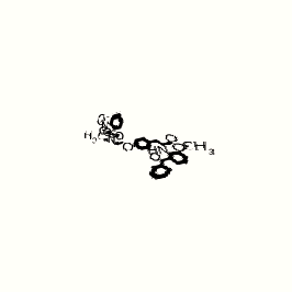 CCN(CCOc1ccc(CC(Nc2ccccc2C(=O)c2ccccc2)C(=O)OC)cc1)S(=O)(=O)c1ccccc1[N+](=O)[O-]